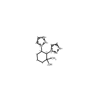 CC1(O)CCCC(n2ccnn2)C1n1ccnn1